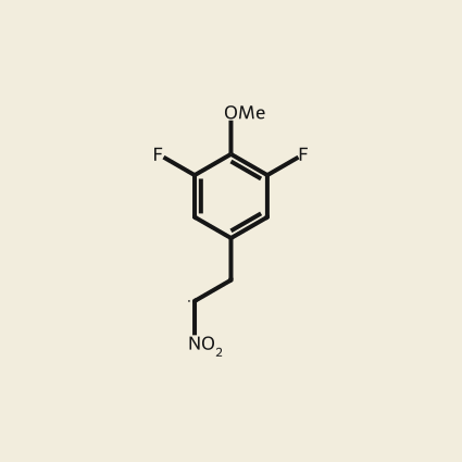 COc1c(F)cc(C[CH][N+](=O)[O-])cc1F